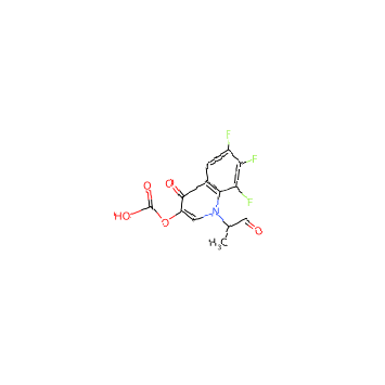 CC(C=O)n1cc(OC(=O)O)c(=O)c2cc(F)c(F)c(F)c21